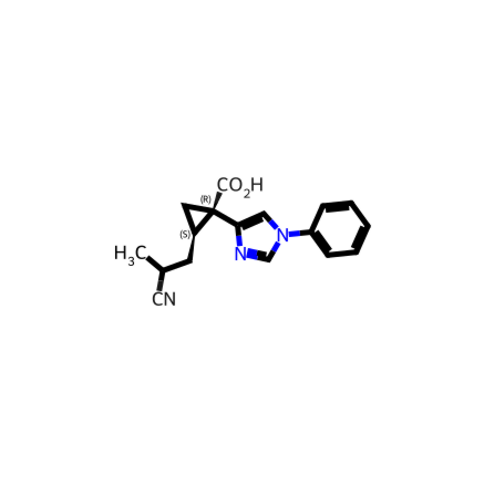 CC(C#N)C[C@H]1C[C@]1(C(=O)O)c1cn(-c2ccccc2)cn1